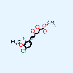 CCOC(=O)C(=O)CC(=O)/C=C/c1ccc(Cl)c(OC)c1F